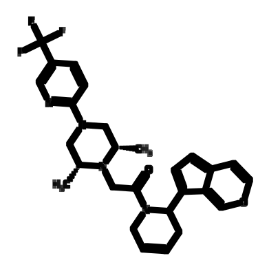 C[C@@H]1CN(c2ccc(C(F)(F)F)cn2)C[C@H](C)N1CC(=O)N1CC=CCC1c1ccc2ccocc1-2